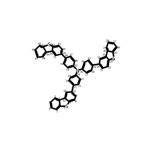 c1ccc2c(c1)sc1ccc(-c3ccc(N(c4ccc(-c5ccc6sc7ccccc7c6c5)cc4)c4ccc(-c5ccc6sc7ccccc7c6c5)cc4)cc3)cc12